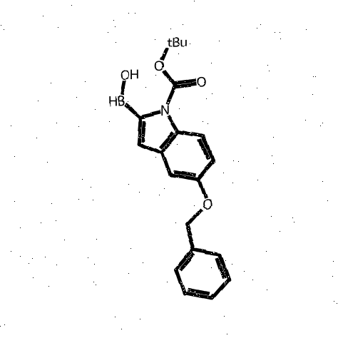 CC(C)(C)OC(=O)n1c(BO)cc2cc(OCc3ccccc3)ccc21